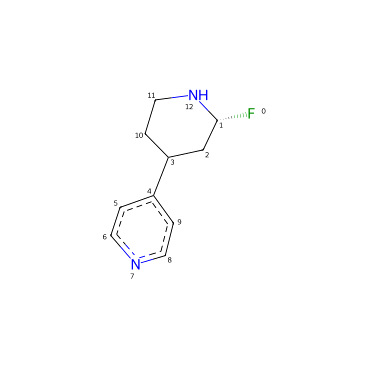 F[C@@H]1CC(c2ccncc2)CCN1